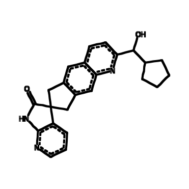 O=C1Nc2ncccc2C12Cc1cc3ccc(C(O)C4CCCC4)nc3cc1C2